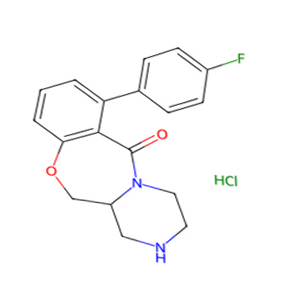 Cl.O=C1c2c(cccc2-c2ccc(F)cc2)OCC2CNCCN12